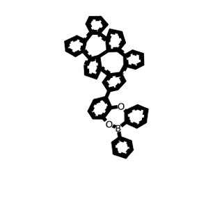 c1ccc(B2Oc3cccc(-c4ccc5c(c4)c4cccc6c4-c4c(cccc4c4ccccc45)c4ccccc4c4ccccc64)c3Oc3ccccc32)cc1